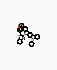 c1ccc(-n2c3ccccc3c3cc4c5ccc6ccccc6c5n(-c5nc6ccccc6nc5-c5ccc6ccccc6c5)c4cc32)cc1